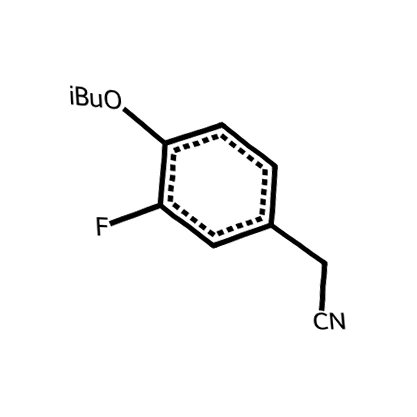 CC(C)COc1ccc(CC#N)cc1F